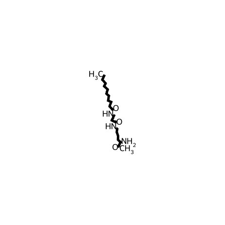 CCCCCCCCCCCC(=O)NCCC(=O)NCCCCC(N)C(C)=O